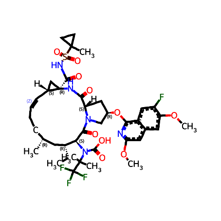 CC[C@@H]1C[C@H](C)CC/C=C\[C@@H]2C[C@@]2(C(=O)NS(=O)(=O)C2(C)CC2)NC(=O)[C@@H]2C[C@@H](Oc3nc(OC)cc4cc(OC)c(F)cc34)CN2C(=O)[C@H]1N(C(=O)O)C(C)(C)C(F)(F)F